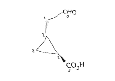 O=CC[C@H]1C[C@@H]1C(=O)O